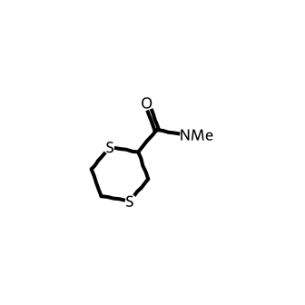 CNC(=O)C1CSCCS1